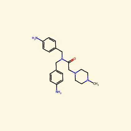 CN1CCN(CC(=O)N(Cc2ccc(N)cc2)Cc2ccc(N)cc2)CC1